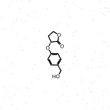 O=C1OCC[C@@H]1Oc1ccc(CO)cc1